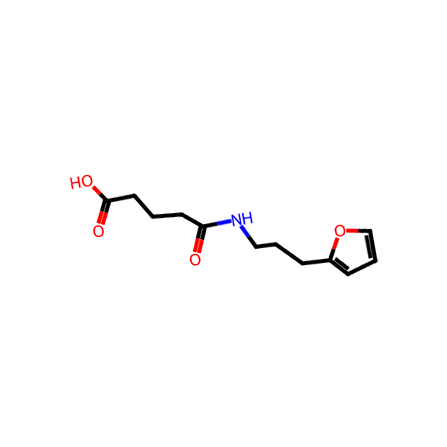 O=C(O)CCCC(=O)NCCCc1ccco1